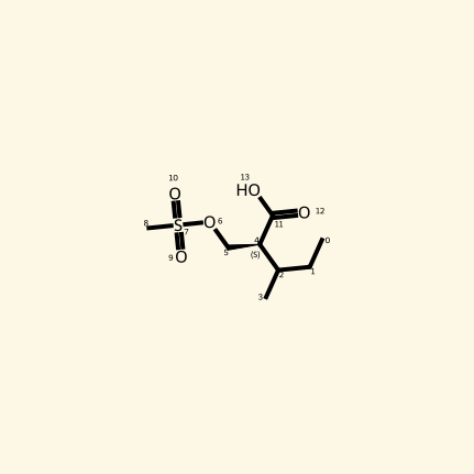 CCC(C)[C@@H](COS(C)(=O)=O)C(=O)O